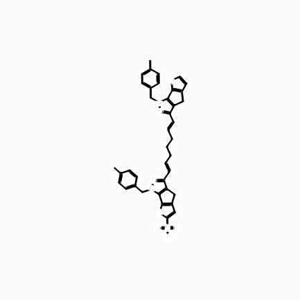 Cc1ccc(Cn2nc(/C=C/CCC/C=C/c3nn(Cc4ccc(C)cc4)c4c3Cc3cc(S(=O)(=O)O)sc3-4)c3c2-c2sccc2C3)cc1